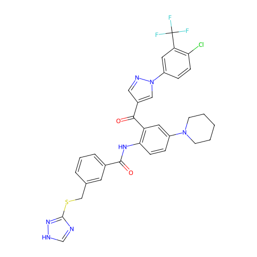 O=C(Nc1ccc(N2CCCCC2)cc1C(=O)c1cnn(-c2ccc(Cl)c(C(F)(F)F)c2)c1)c1cccc(CSc2nc[nH]n2)c1